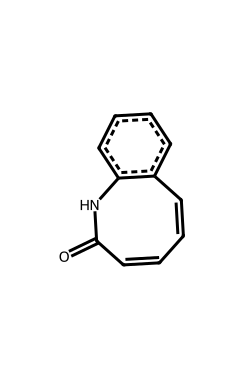 O=C1/C=C\C=C/c2ccccc2N1